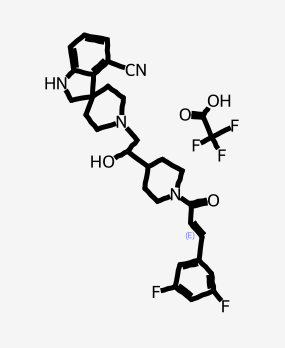 N#Cc1cccc2c1C1(CCN(CC(O)C3CCN(C(=O)/C=C/c4cc(F)cc(F)c4)CC3)CC1)CN2.O=C(O)C(F)(F)F